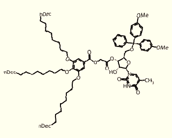 CCCCCCCCCCCCCCCCCCOc1cc(C(=O)OCC(=O)O[C@H]2[C@@H](O)[C@H](n3cc(C)c(=O)[nH]c3=O)O[C@@H]2COC(c2ccccc2)(c2ccc(OC)cc2)c2ccc(OC)cc2)cc(OCCCCCCCCCCCCCCCCCC)c1OCCCCCCCCCCCCCCCCCC